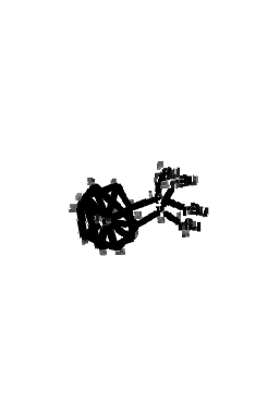 CCCCP(CCCC)[C]12[CH]3[CH]4[CH]5[CH]1[Fe]45321678[CH]2[CH]1[CH]6[C]7(P(CCCC)CCCC)[CH]28